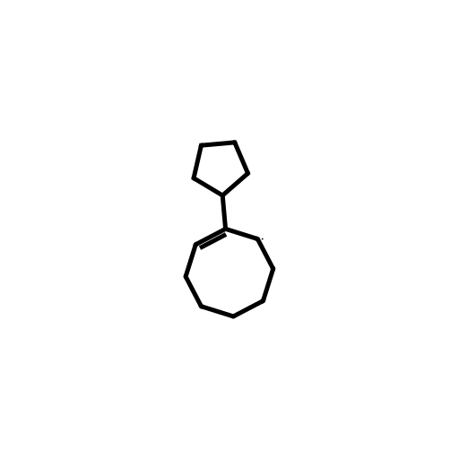 [CH]1CCCCCC=C1C1CCCC1